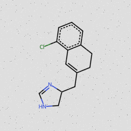 Clc1cccc2c1C=C(CC1CNC=N1)CC2